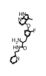 Cc1c[nH]c2nccc(Oc3ccc(CC(N)C(=O)NCCc4ccccn4)cc3F)c12